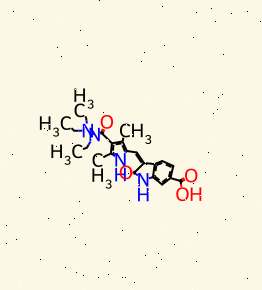 CCN(CC)N(CC)C(=O)c1c(C)[nH]c(C=C2C(=O)Nc3cc(C(=O)O)ccc32)c1C